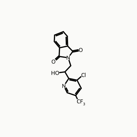 O=C1c2ccccc2C(=O)N1CC(O)c1ncc(C(F)(F)F)cc1Cl